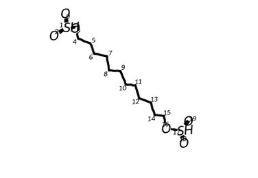 O=[SH](=O)OCCCCCCCCCCCCO[SH](=O)=O